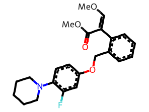 COC=C(C(=O)OC)c1ccccc1COc1ccc(N2CCCCC2)c(F)c1